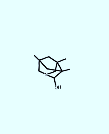 CC12CN3CC(C)(C1)C(C)(C2)C3O